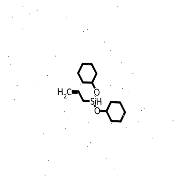 C=CC[SiH](OC1CCCCC1)OC1CCCCC1